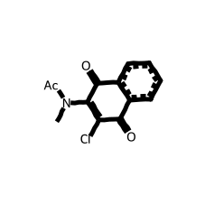 CC(=O)N(C)C1=C(Cl)C(=O)c2ccccc2C1=O